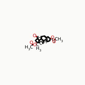 CC(=O)OC1CC[C@@]2(C)C(=CC[C@@H]3[C@H]2CC[C@]2(C)C(OC(C)=O)CC(C=O)[C@@H]32)C1